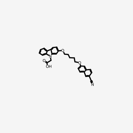 N#Cc1ccc2cc(OCCCCCOc3ccc4c5ccccc5n(CC(=O)O)c4c3)ccc2c1